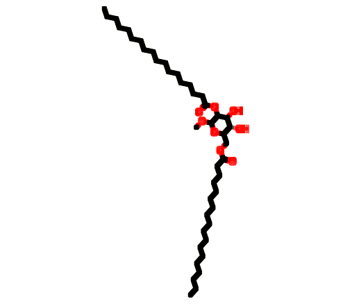 CCCCCCCCCCCCCCCCCC(=O)OCC1OC(OC)C(OC(=O)CCCCCCCCCCCCCCCCC)[C@@H](O)[C@@H]1O